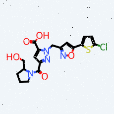 O=C(O)c1cc(C(=O)N2CCCC2CO)nn1Cc1cc(-c2ccc(Cl)s2)on1